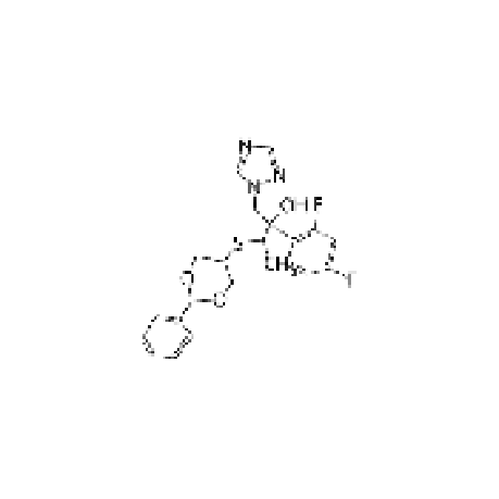 CC(SC1COC(c2ccccc2)OC1)C(O)(Cn1cncn1)c1ccc(F)cc1F